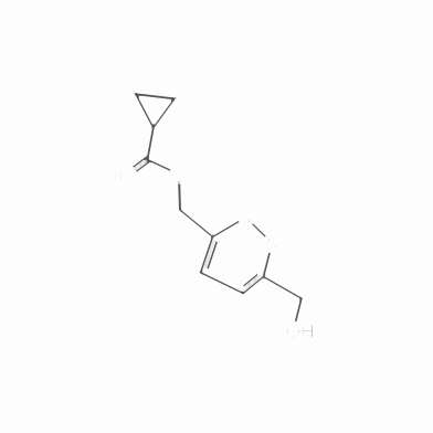 O=C(OCC1=CC=C(CO)SS1)C1CC1